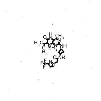 Cc1nc(NC2CC(NC(=O)Cn3ccc(C(F)(F)F)n3)C2)nc2c1NC(=O)C(C(C)C)N2C